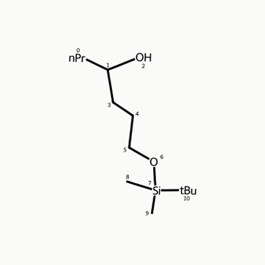 CCCC(O)CCCO[Si](C)(C)C(C)(C)C